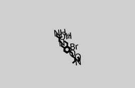 Cc1ncoc1COc1ccc2c(c1Br)CCN(CC(O)CN)C2